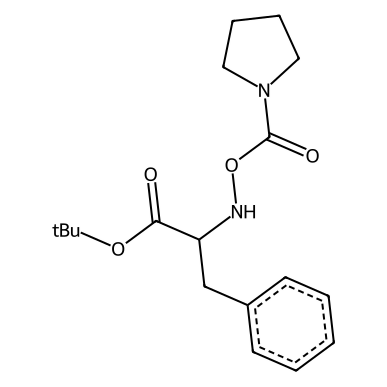 CC(C)(C)OC(=O)C(Cc1ccccc1)NOC(=O)N1CCCC1